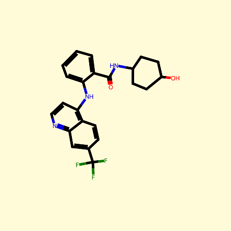 O=C(NC1CCC(O)CC1)c1ccccc1Nc1ccnc2cc(C(F)(F)F)ccc12